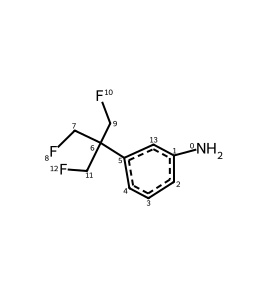 Nc1cccc(C(CF)(CF)CF)c1